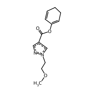 COCCn1cc(C(=O)OC2=CCCC=C2)cn1